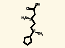 C[C@@H](CC[C@H](N)CC(=O)O)C1CCCC1